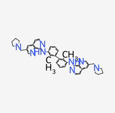 Cc1c(Nc2nccc3cc(CN4CCCC4)cnc23)cccc1-c1cccc(Nc2nccc3cc(CN4CCCC4)cnc23)c1C